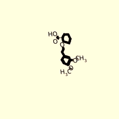 COc1ccc(CCO[C@@H]2CCCC[C@H]2C(=O)O)cc1OC